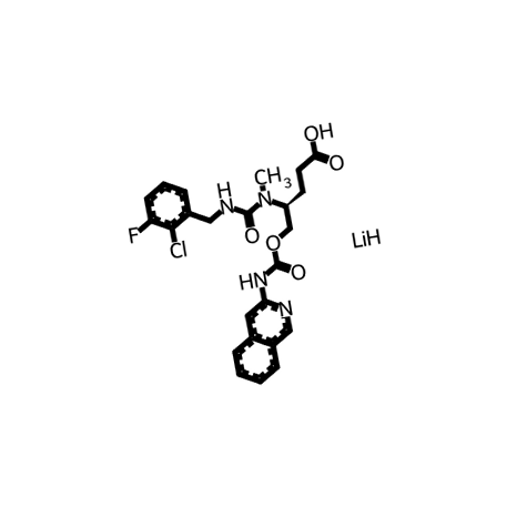 CN(C(=O)NCc1cccc(F)c1Cl)[C@@H](CCC(=O)O)COC(=O)Nc1cc2ccccc2cn1.[LiH]